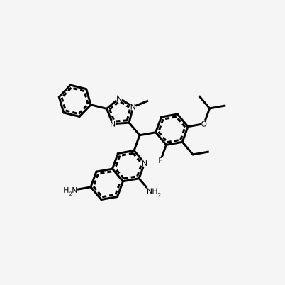 CCc1c(OC(C)C)ccc(C(c2cc3cc(N)ccc3c(N)n2)c2nc(-c3ccccc3)nn2C)c1F